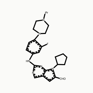 CC(C)N1CCN(c2ccc(Nc3ncc4cc(C=O)n(C5CCCC5)c4n3)cc2F)CC1